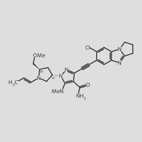 CC=CN1C[C@@H](n2nc(C#Cc3cc4nc5n(c4cc3Cl)CCC5)c(C(N)=O)c2NC)C[C@@H]1COC